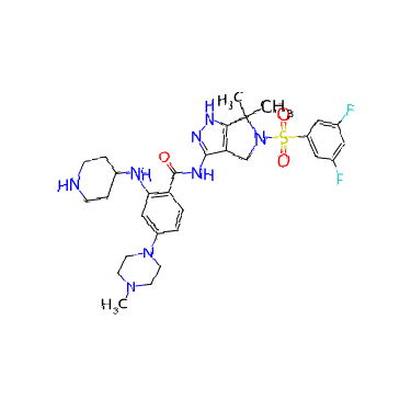 CN1CCN(c2ccc(C(=O)Nc3n[nH]c4c3CN(S(=O)(=O)c3cc(F)cc(F)c3)C4(C)C)c(NC3CCNCC3)c2)CC1